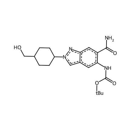 CC(C)(C)OC(=O)Nc1cc2cn(C3CCC(CO)CC3)nc2cc1C(N)=O